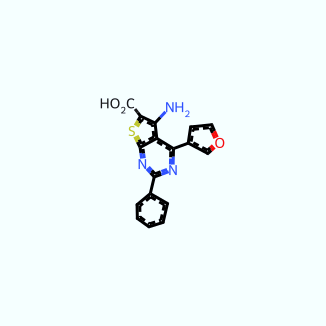 Nc1c(C(=O)O)sc2nc(-c3ccccc3)nc(-c3ccoc3)c12